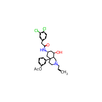 C=CCN1CCC2(c3cccc(OC(C)=O)c3)C[C@@H](NC(=O)Cc3ccc(Cl)c(Cl)c3)CC(O)C2C1